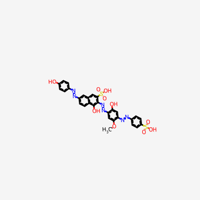 COc1cc(N=Nc2c(S(=O)(=O)O)cc3cc(N=Nc4ccc(O)cc4)ccc3c2O)c(O)cc1N=Nc1ccc(S(=O)(=O)O)cc1